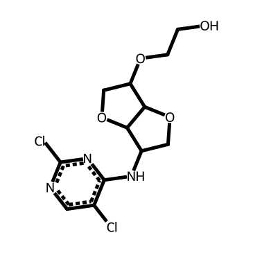 OCCOC1COC2C(Nc3nc(Cl)ncc3Cl)COC12